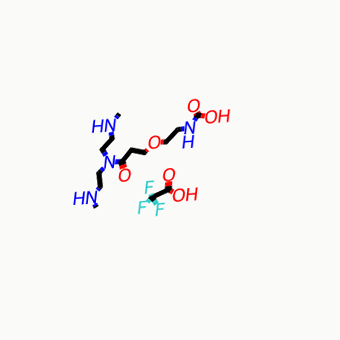 CNCCN(CCNC)C(=O)CCOCCNC(=O)O.O=C(O)C(F)(F)F